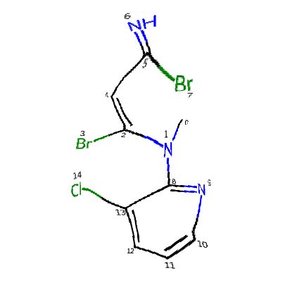 CN(/C(Br)=C\C(=N)Br)c1ncccc1Cl